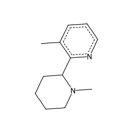 Cc1cccnc1C1CCCCN1C